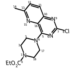 CCOC(=O)N1CCN(c2nc(Cl)nc3ccc(C)nc23)CC1